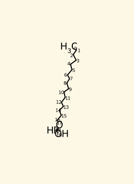 CCCCCCCCCCCCCCCCCOPO